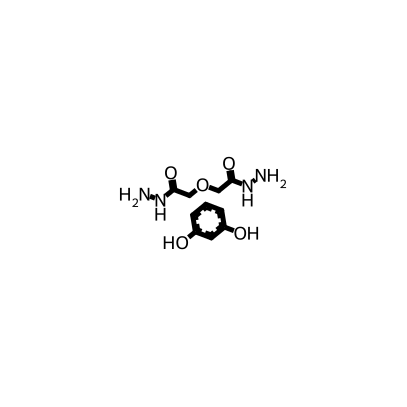 NNC(=O)COCC(=O)NN.Oc1cccc(O)c1